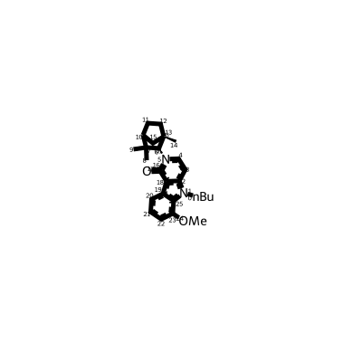 CCCCn1c2ccn([C@@H]3C(C)(C)C4CC[C@@]3(C)C4)c(=O)c2c2cccc(OC)c21